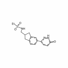 CCS(=O)(=O)NCC1Cc2ccc(-c3ccc(=O)[nH]n3)cc2C1